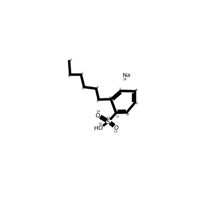 CCCCCCc1ccccc1S(=O)(=O)O.[Na]